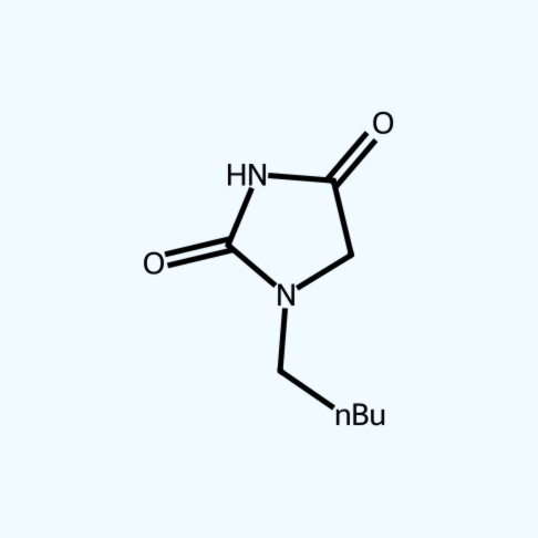 CCCCCN1CC(=O)NC1=O